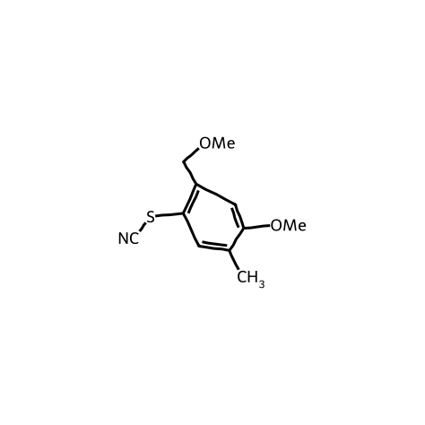 COCc1cc(OC)c(C)cc1SC#N